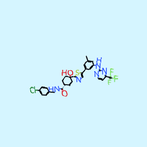 Cc1cc(Nc2nccc(C(F)(F)F)n2)cc(-c2cnc([C@]3(O)CC[C@H](C(=O)NCc4ccc(Cl)cc4)CC3)s2)c1